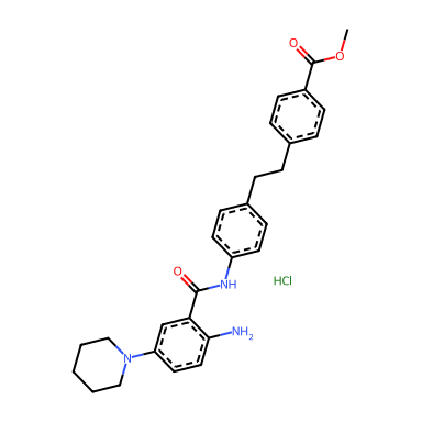 COC(=O)c1ccc(CCc2ccc(NC(=O)c3cc(N4CCCCC4)ccc3N)cc2)cc1.Cl